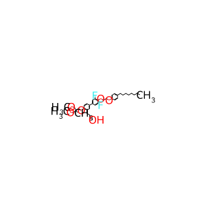 CCCCCCCCc1ccc(OCCOc2c(F)cc(-c3ccc(OCC4(C)COC(C)(C)OC4)c(CCCO)c3)cc2F)cc1